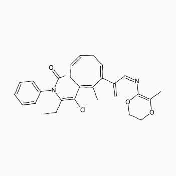 C=C(/C=N\C1=C(C)OCCO1)C1=C/C/C=C\CC(/C(Cl)=C(/CC)N(C(C)=O)c2ccccc2)=C\1C